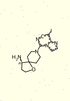 N[C@@H]1CCOC12CCN(c1ncc(I)c3nccn13)CC2